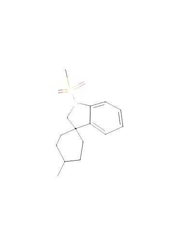 CC1CCC2(CC1)CN(S(C)(=O)=O)c1ccccc12